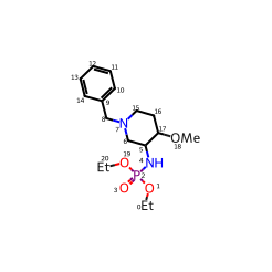 CCOP(=O)(NC1CN(Cc2ccccc2)CCC1OC)OCC